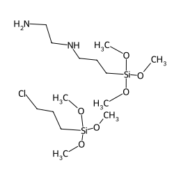 CO[Si](CCCCl)(OC)OC.CO[Si](CCCNCCN)(OC)OC